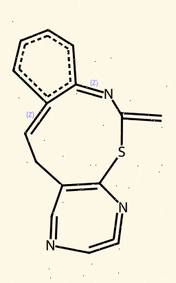 C=C1/N=c2/cccc/c2=C/CC2=C(N=C=CN=C2)S1